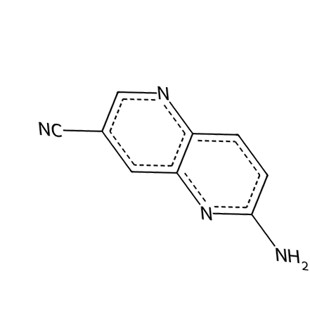 N#Cc1cnc2ccc(N)nc2c1